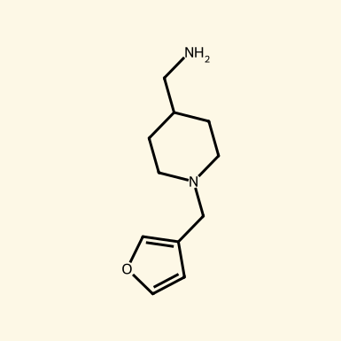 NCC1CCN(Cc2ccoc2)CC1